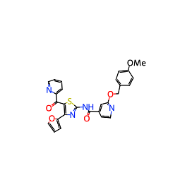 COc1ccc(COc2cc(C(=O)Nc3nc(-c4ccco4)c(C(=O)c4ccccn4)s3)ccn2)cc1